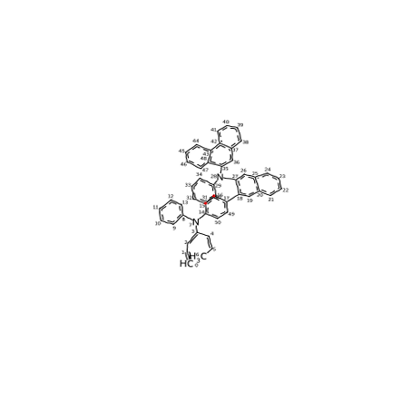 C#C/C=C(\C=C/C)N(c1ccccc1)c1ccc(-c2cc3ccccc3cc2N(c2ccccc2)c2cc3ccccc3c3ccccc23)cc1